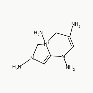 NC1=CN(N)C2=CN(N)C[N+]2(N)C1